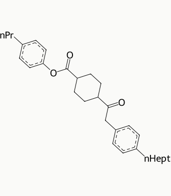 CCCCCCCc1ccc(CC(=O)C2CCC(C(=O)Oc3ccc(CCC)cc3)CC2)cc1